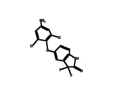 O=C1Nc2ccc(Oc3c(Cl)cc([N+](=O)[O-])cc3Cl)cc2C1(F)F